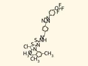 Cc1ccc(C(C)C)c(N2C(=O)C(Cl)S/C2=N\C(=S)N/N=C/c2ccc(-c3ncn(-c4ccc(OC(F)(F)F)cc4)n3)cc2)c1